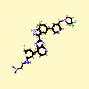 CN(C)CCNc1cc(F)cc(-c2ccnc3[nH]c(-c4n[nH]c5c(F)cc(-c6cncc(CN7CCC(F)(F)C7)c6)cc45)nc23)c1